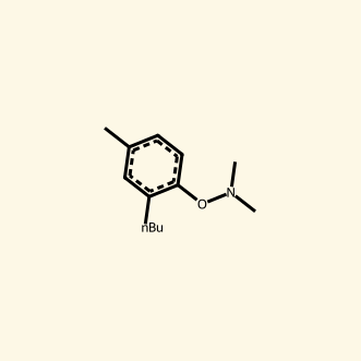 CCCCc1cc(C)ccc1ON(C)C